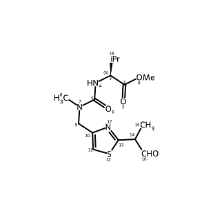 COC(=O)[C@@H](NC(=O)N(C)Cc1csc(C(C)C=O)n1)C(C)C